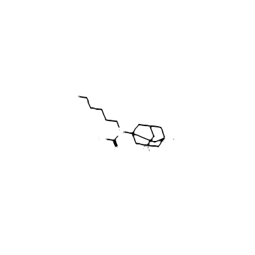 C[C@]12CC3CC(N(CCCCCO)C(=O)O)(C1)C[C@@](C)(C3)C2